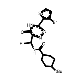 CCC(NC(=O)C1CCC(C(C)(C)C)CC1)c1nnc(-c2sccc2Br)[nH]c1=O